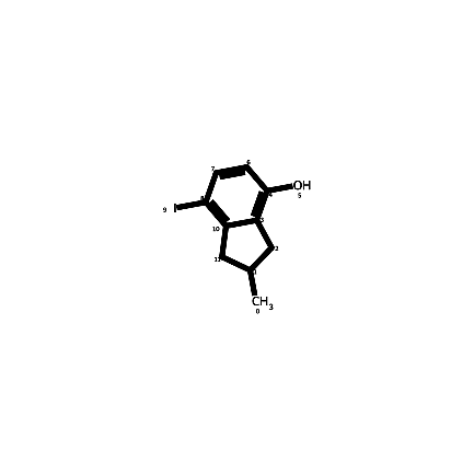 CC1Cc2c(O)ccc(I)c2C1